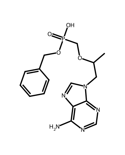 CC(Cn1cnc2c(N)ncnc21)OCP(=O)(O)OCc1ccccc1